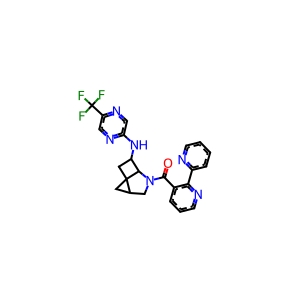 O=C(c1cccnc1-c1ccccn1)N1CC2CC23CC(Nc2cnc(C(F)(F)F)cn2)C13